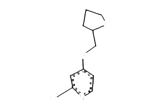 Clc1cc(OCC2CCCO2)ccn1